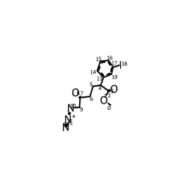 COC(=O)C(CCC(=O)CN=[N+]=[N-])c1cccc(I)c1